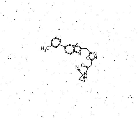 Cc1cccc(-c2ccc3nc(Cc4nnc(CC(=O)NC5(C#N)CC5)o4)sc3c2)c1